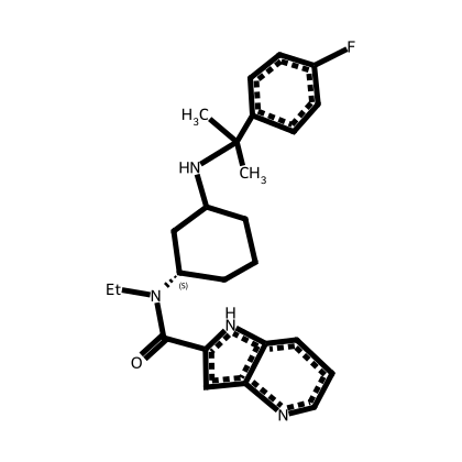 CCN(C(=O)c1cc2ncccc2[nH]1)[C@H]1CCCC(NC(C)(C)c2ccc(F)cc2)C1